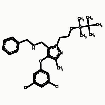 Cc1nn(CCO[Si](C)(C)C(C)(C)C)c(CNCc2ccccc2)c1Oc1cc(Cl)cc(Cl)c1